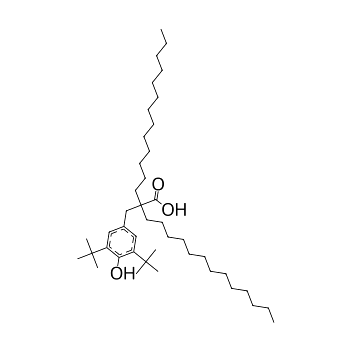 CCCCCCCCCCCCCC(CCCCCCCCCCCCC)(Cc1cc(C(C)(C)C)c(O)c(C(C)(C)C)c1)C(=O)O